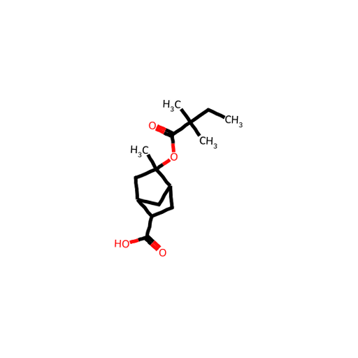 CCC(C)(C)C(=O)OC1(C)CC2CC1CC2C(=O)O